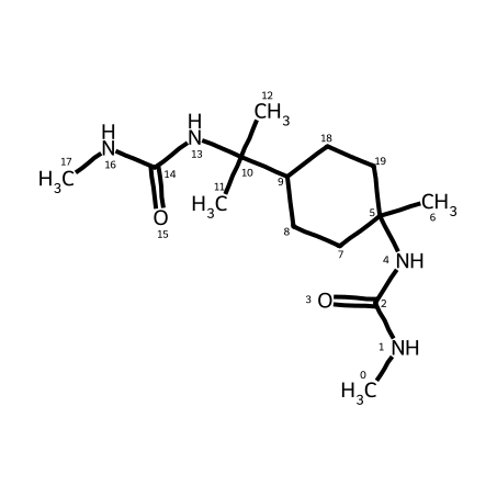 CNC(=O)NC1(C)CCC(C(C)(C)NC(=O)NC)CC1